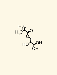 C=C(C)C(=O)OCC(O)[C](O)O